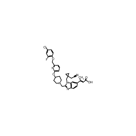 C/C(=C\C(=O)O)c1ccc2nc(CN3CCC(Oc4cccc(COc5ccc(Cl)cc5F)n4)CC3)n(CC3(CC#N)CC3)c2c1